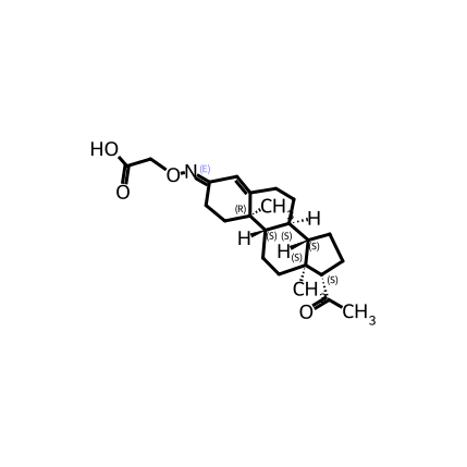 CC(=O)[C@H]1CC[C@H]2[C@@H]3CCC4=C/C(=N/OCC(=O)O)CC[C@]4(C)[C@H]3CC[C@]12C